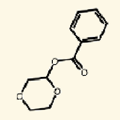 O=C(OC1COCCO1)c1ccccc1